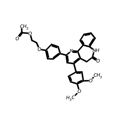 COc1ccc(-c2cc(-c3ccc(OCCOC(C)=O)cc3)nc3c2CC(=O)Nc2ccccc2-3)cc1OC